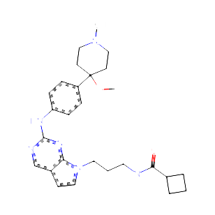 COC1(c2ccc(Nc3ncc4ccn(CCCNC(=O)C5CCC5)c4n3)cc2)CCN(C)CC1